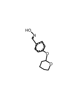 ON=Cc1ccc(OC2CCCCO2)cc1